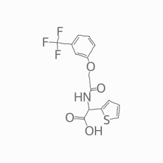 O=C(COc1cccc(C(F)(F)F)c1)NC(C(=O)O)c1cccs1